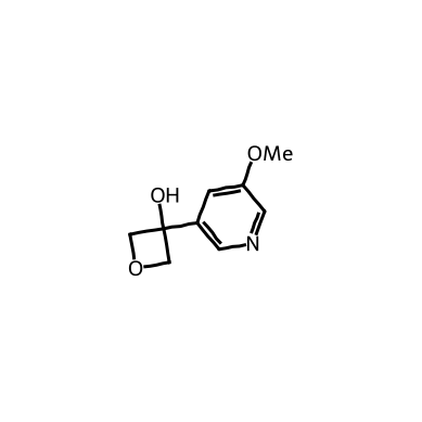 COc1cncc(C2(O)COC2)c1